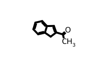 CC(=O)C1=Cc2ccccc2C1